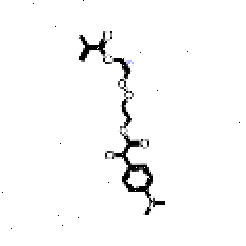 C=C(C)C(=O)O/C=C\OOCCOC(=O)C(=O)c1ccc(N(C)C)cc1